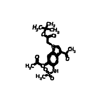 CC(=O)Oc1cc2c(cc1NS(C)(=O)=O)c(C(C)=O)cn2CC(=O)OC(C)(C)C